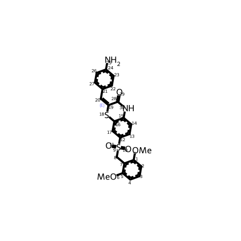 COc1cccc(OC)c1CS(=O)(=O)c1ccc2c(c1)S/C(=C/c1ccc(N)cc1)C(=O)N2